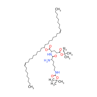 CCCCCCCC/C=C\CCCCCCCCC(CCCCCCC/C=C\CCCCCCCC)OC(=O)C(CCC(=O)OC(C)(C)C)NC(=O)C(N)CCCCNC(=O)OC(C)(C)C